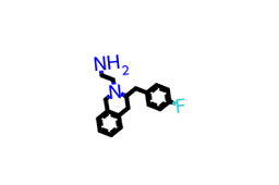 NCCN1Cc2ccccc2CC1Cc1ccc(F)cc1